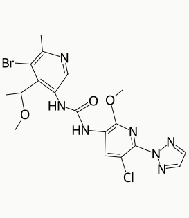 COc1nc(-n2nccn2)c(Cl)cc1NC(=O)Nc1cnc(C)c(Br)c1C(C)OC